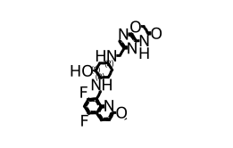 COc1ccc2c(F)cc(F)c(CN[C@@H]3CC[C@@H](NCc4cnc5c(n4)NC(=O)CO5)C[C@@H]3O)c2n1